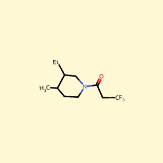 CCC1CN(C(=O)CC(F)(F)F)CCC1C